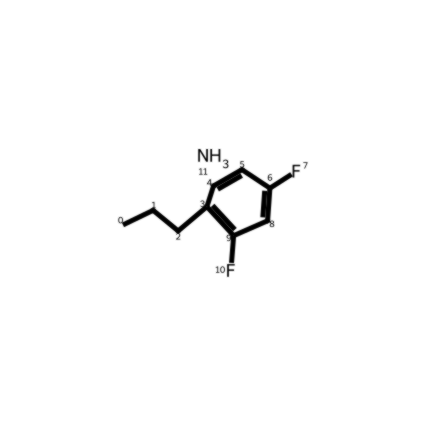 CCCc1ccc(F)cc1F.N